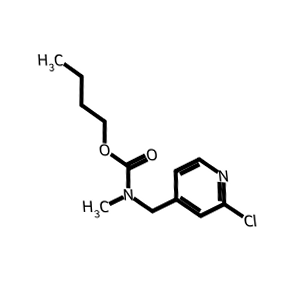 CCCCOC(=O)N(C)Cc1ccnc(Cl)c1